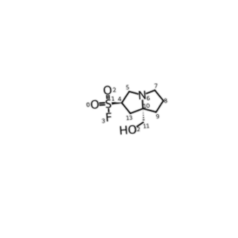 O=S(=O)(F)[C@H]1CN2CCC[C@@]2(CO)C1